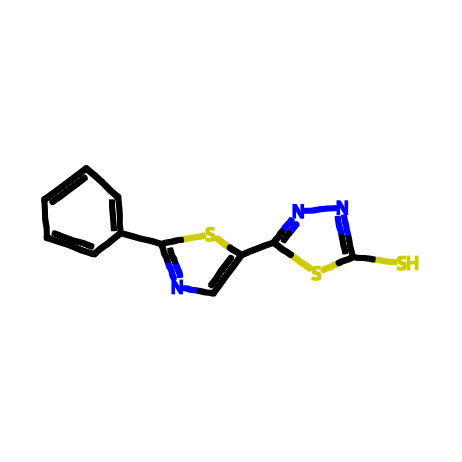 Sc1nnc(-c2cnc(-c3ccccc3)s2)s1